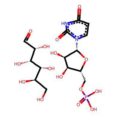 O=C[C@H](O)[C@@H](O)[C@H](O)[C@H](O)CO.O=c1ccn([C@@H]2O[C@H](COP(=O)(O)O)[C@@H](O)[C@H]2O)c(=O)[nH]1